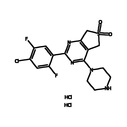 Cl.Cl.O=S1(=O)Cc2nc(-c3cc(F)c(Cl)cc3F)nc(N3CCNCC3)c2C1